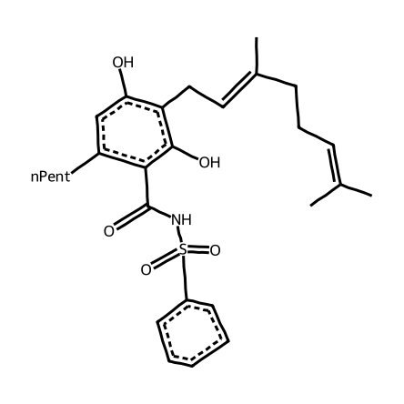 CCCCCc1cc(O)c(C/C=C(\C)CCC=C(C)C)c(O)c1C(=O)NS(=O)(=O)c1ccccc1